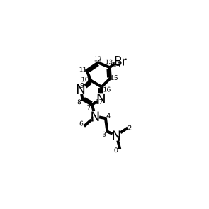 CN(C)CCN(C)c1cnc2ccc(Br)cc2n1